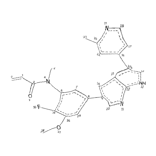 C=CC(=O)N(C)c1cc(-c2cnc3[nH]cc(-c4ccnc(C)c4)c3c2)cc(OC)c1F